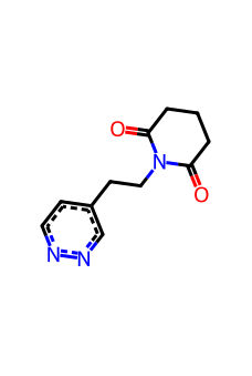 O=C1CCCC(=O)N1CCc1ccnnc1